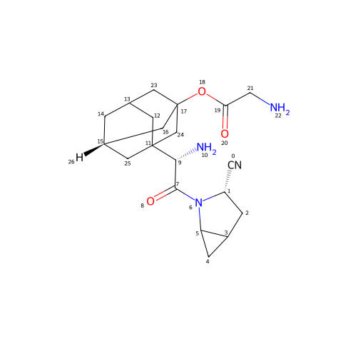 N#C[C@@H]1CC2CC2N1C(=O)[C@@H](N)C12CC3C[C@H](CC(OC(=O)CN)(C3)C1)C2